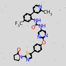 Cc1cc(-c2ccc(C(F)(F)F)cc2NC(=O)Nc2cnc(Oc3ccc(-c4cnc(N5CCCC5=O)s4)cc3)nc2)ccn1